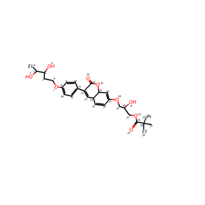 CCC(O)C(O)CCOc1ccc(C2=CC3C=CC(OCC(O)COC(=O)C(C)(CC)C(C)C)=CC3OC2=O)cc1